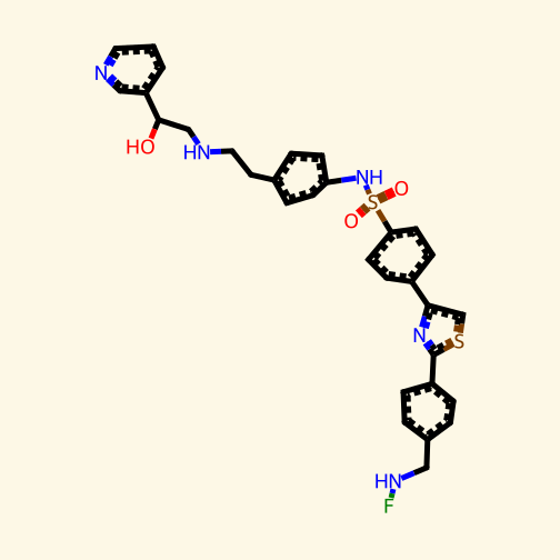 O=S(=O)(Nc1ccc(CCNCC(O)c2cccnc2)cc1)c1ccc(-c2csc(-c3ccc(CNF)cc3)n2)cc1